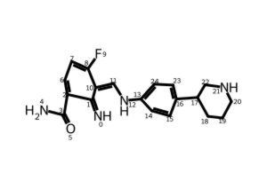 N=C1C(C(N)=O)=CC=C(F)/C1=C/Nc1ccc(C2CCCNC2)cc1